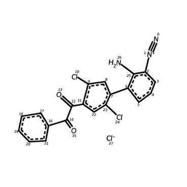 N#[N+]c1cccc(-c2cc(Cl)c(C(=O)C(=O)c3ccccc3)cc2Cl)c1N.[Cl-]